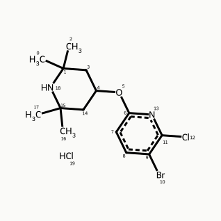 CC1(C)CC(Oc2ccc(Br)c(Cl)n2)CC(C)(C)N1.Cl